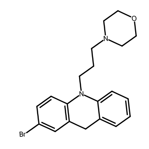 Brc1ccc2c(c1)Cc1ccccc1N2CCCN1CCOCC1